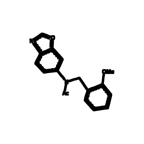 COc1ccccc1CN(C(C)=O)c1ccc2ncoc2c1